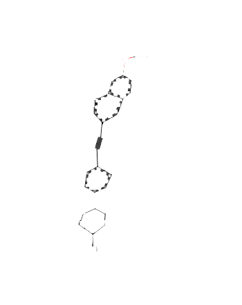 CCCCCOc1ccc2cc(C#Cc3ccc([C@H]4CC[C@H](CCCC)CC4)cc3)ccc2c1